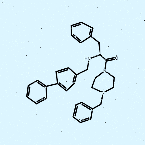 O=C([C@H](Cc1ccccc1)NCc1ccc(-c2ccccc2)cc1)N1CCN(Cc2ccccc2)CC1